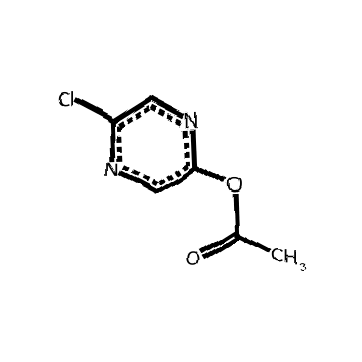 CC(=O)Oc1cnc(Cl)cn1